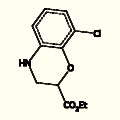 CCOC(=O)C1CNc2cccc(Cl)c2O1